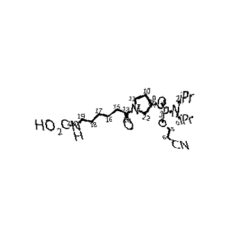 CC(C)N(C(C)C)P(OCCC#N)O[C@@H]1CCN(C(=O)CCCCCNC(=O)O)C1